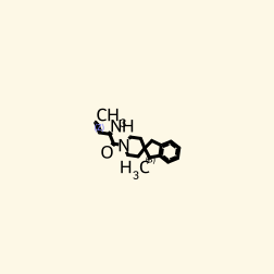 C/C=C\C(=N)C(=O)N1CCC2(CC1)Cc1ccccc1[C@H]2C